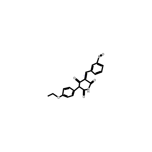 CCOc1ccc(C2C(=O)NC(=O)/C(=C\c3cccc(N=O)c3)C2=O)cc1